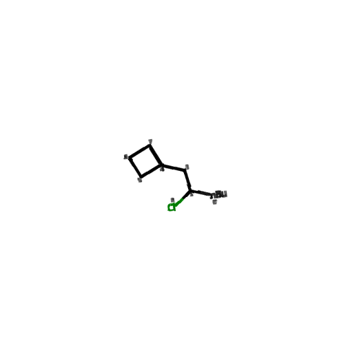 CCCCC(Cl)CC1CCC1